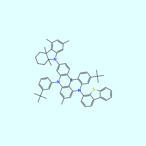 Cc1cc2c3c(c1)N(c1cccc4c1sc1ccccc14)c1cc(C(C)(C)C)ccc1B3c1ccc(N3c4cc(C)cc(C)c4C4(C)CCCCC34C)cc1N2c1cccc(C(C)(C)C)c1